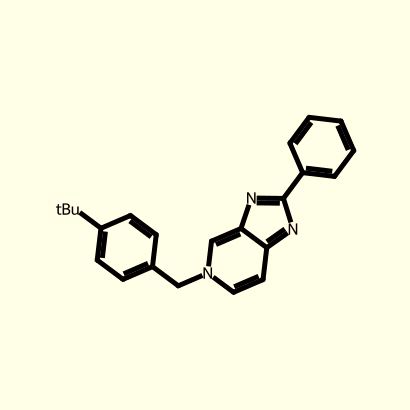 CC(C)(C)c1ccc(Cn2ccc3nc(-c4ccccc4)nc-3c2)cc1